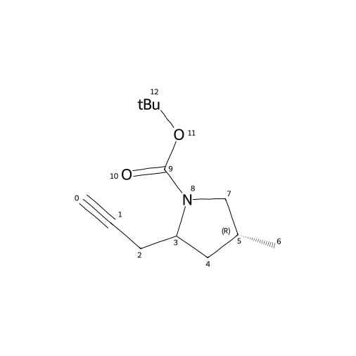 C#CCC1C[C@@H](C)CN1C(=O)OC(C)(C)C